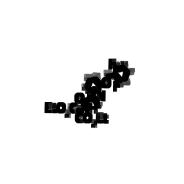 CCOC(=O)C(NC(=O)c1c(C)nc2c(OCc3c(F)cccc3F)cccn12)C(=O)OCC